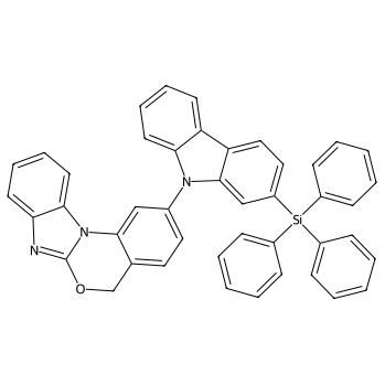 c1ccc([Si](c2ccccc2)(c2ccccc2)c2ccc3c4ccccc4n(-c4ccc5c(c4)-n4c(nc6ccccc64)OC5)c3c2)cc1